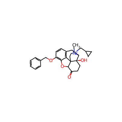 C[N+]1(CC2CC2)CCC23c4c5ccc(OCc6ccccc6)c4OC2C(=O)CC[C@@]3(O)C1C5